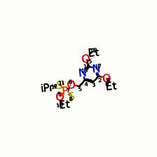 CCOc1cc(CO[P@](=S)(OCC)SC(C)C)nc(OCC)n1